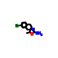 C[C@@H]1OC(N)=N[C@]12CCc1ccc(Br)cc1C2